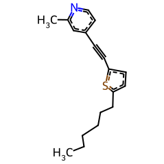 CCCCCCc1ccc(C#Cc2ccnc(C)c2)s1